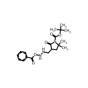 CC(C)(C)OC(=O)N1C(=O)C(CNNOC(=O)c2ccccc2)CC1(C)C